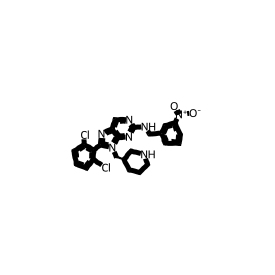 O=[N+]([O-])c1cccc(CNc2ncc3nc(-c4c(Cl)cccc4Cl)n(C[C@@H]4CCCNC4)c3n2)c1